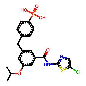 CC(C)Oc1cc(Cc2ccc(P(=O)(O)O)cc2)cc(C(=O)Nc2ncc(Cl)s2)c1